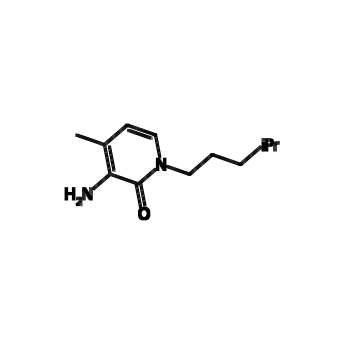 Cc1ccn(CCCC(C)C)c(=O)c1N